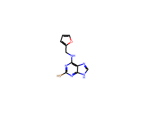 Sc1nc(NCc2ccco2)c2nc[nH]c2n1